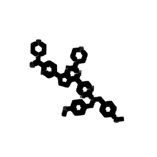 COc1ccc(CN(Cc2ccc(OC)cc2)c2ncc(-c3nc(N4CCOCC4)nc4c3CCN4c3ccc(C(=O)N4CCOCC4)nc3)cn2)cc1